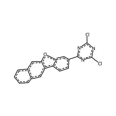 Clc1nc(Cl)nc(-c2ccc3c(c2)oc2cc4ccccc4cc23)n1